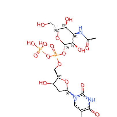 CC(=O)N[C@H]1[C@@H](O)[C@H](OP(=O)(OC[C@H]2O[C@@H](n3cc(C)c(=O)[nH]c3=O)CC2O)OP(=O)(O)O)O[C@H](CO)[C@H]1O